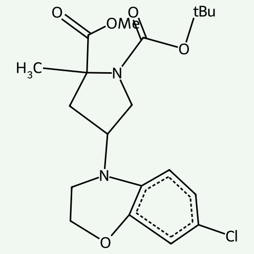 COC(=O)C1(C)CC(N2CCOc3cc(Cl)ccc32)CN1C(=O)OC(C)(C)C